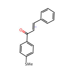 CSc1ccc(C(=O)/C=C/c2ccccc2)cc1